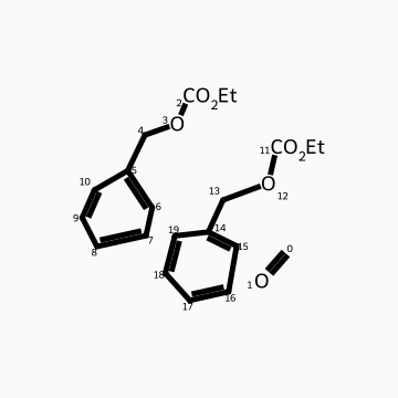 C=O.CCOC(=O)OCc1ccccc1.CCOC(=O)OCc1ccccc1